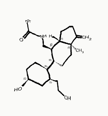 C=C1CC[C@H]2[C@H](CNC(=O)CCC)[C@@H]([C@@H]3CC[C@H](O)C[C@@H]3CCO)CC[C@]12C